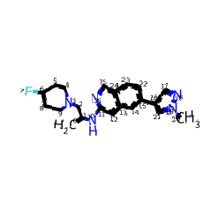 C=C(CN1CCC(F)CC1)Nc1cc2cc(-c3cnn(C)c3)ccc2cn1